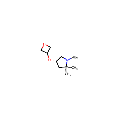 CC(C)(C)N1C[C@@H](OC2COC2)CC1(C)C